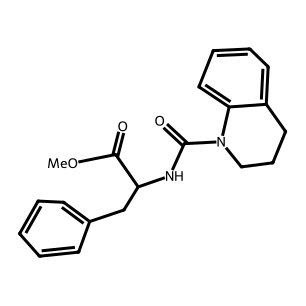 COC(=O)C(Cc1ccccc1)NC(=O)N1CCCc2ccccc21